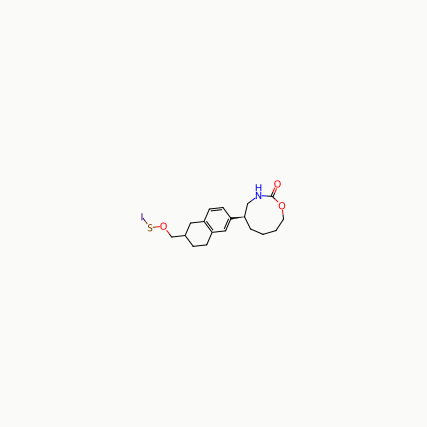 O=C1NC[C@H](c2ccc3c(c2)CCC(COSI)C3)CCCCO1